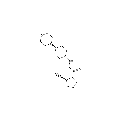 N#C[C@@H]1CCCN1C(=O)CN[C@H]1CC[C@H](N2CCOCC2)CC1